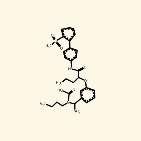 CCCCN(C(=O)O)C(N)c1cccc(OC(CCC)C(=O)Nc2ccc(-c3ccccc3S(C)(=O)=O)cc2)c1